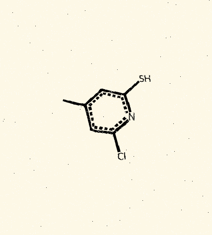 Cc1cc(S)nc(Cl)c1